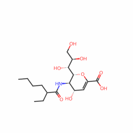 CCCCC(CC)C(=O)N[C@H]1[C@H]([C@H](O)[C@H](O)CO)OC(C(=O)O)=C[C@@H]1O